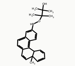 CC12C=CC=CC1c1c(ccc3cc(BOC(C)(C)C(C)(C)O)ccc13)C=C2